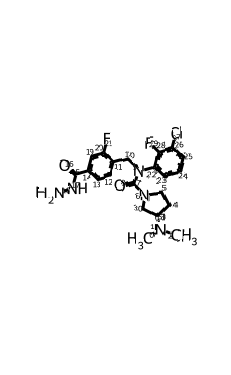 CN(C)[C@H]1CCN(C(=O)N(Cc2ccc(C(=O)NN)cc2F)c2cccc(Cl)c2F)C1